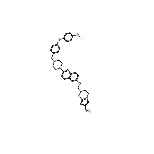 O=[N+]([O-])c1cn2c(n1)O[C@@H](COc1ccc3nc(N4CCN(Cc5ccc(Oc6ccc(OC(F)(F)F)cc6)cc5)CC4)ccc3c1)CC2